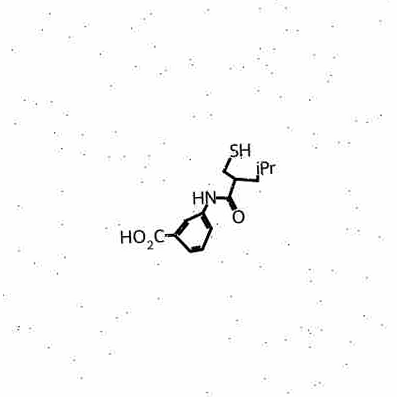 CC(C)CC(CS)C(=O)Nc1cccc(C(=O)O)c1